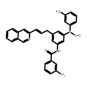 O=CN(c1cc(CC=Cc2cc3ccccc3cn2)cc(NC(=O)c2cccc(C(F)(F)F)c2)c1)c1cccc(C(F)(F)F)c1